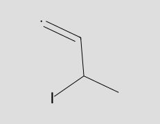 [CH]=CC(C)I